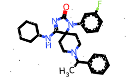 CC(c1ccccc1)N1CCC2(CC1)C(NC1CCCCC1)=NC(=O)N2c1cccc(F)c1